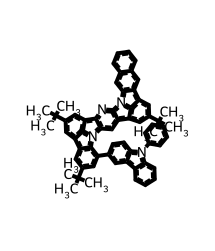 CC(C)(C)c1cc(-c2ccc3c(c2)c2ccccc2n3-c2ccccc2)c2c(c1)c1cc(C(C)(C)C)cc3c4nc5c(cc4n2c13)c1cc(C(C)(C)C)cc2c3cc4ccccc4cc3n5c21